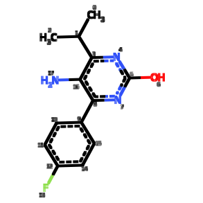 CC(C)c1nc(O)nc(-c2ccc(F)cc2)c1N